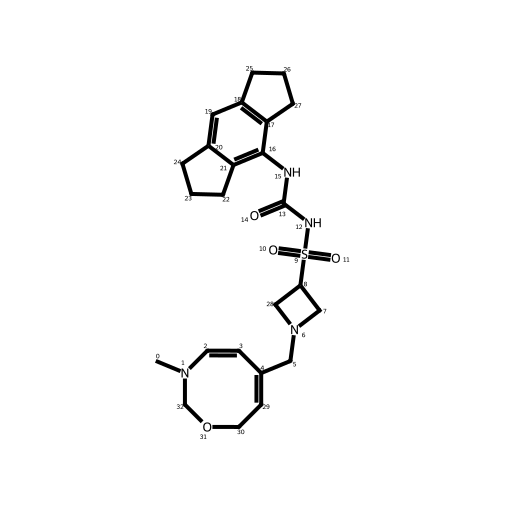 CN1/C=C\C(CN2CC(S(=O)(=O)NC(=O)Nc3c4c(cc5c3CCC5)CCC4)C2)=C/COC1